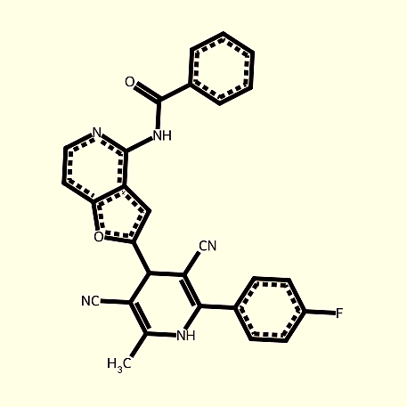 CC1=C(C#N)C(c2cc3c(NC(=O)c4ccccc4)nccc3o2)C(C#N)=C(c2ccc(F)cc2)N1